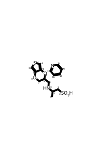 CC(CS(=O)(=O)O)NCC1COc2cscc2O1.c1ccncc1